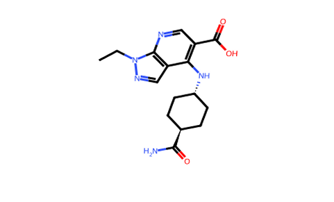 CCn1ncc2c(N[C@H]3CC[C@H](C(N)=O)CC3)c(C(=O)O)cnc21